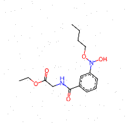 CCCCON(O)c1cccc(C(=O)NCC(=O)OCC)c1